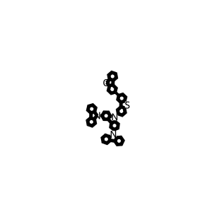 c1ccc2c(c1)oc1ccc(-c3ccc4sc5ccc(-n6c7ccc(-n8c9ccccc9c9ccccc98)cc7c7cc(-n8c9ccccc9c9ccccc98)ccc76)cc5c4c3)cc12